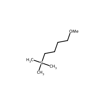 [CH2]OCCCC[Si](C)(C)C